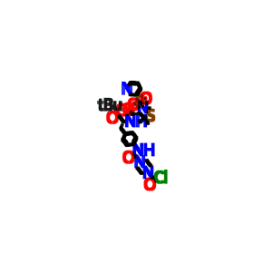 CC(C)(C)OC(=O)[C@H](Cc1ccc(NC(=O)N2CCN(C(=O)Cl)CC2)cc1)NC(=O)[C@H]1N(S(=O)(=O)c2cccnc2)CSC1(C)C